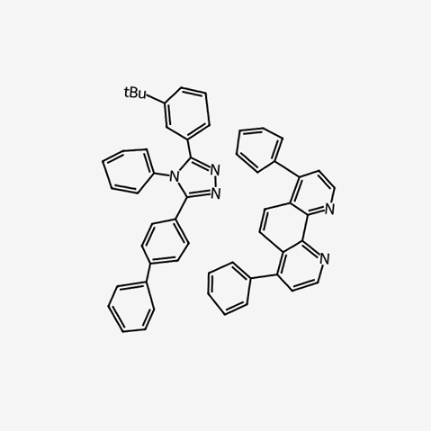 CC(C)(C)c1cccc(-c2nnc(-c3ccc(-c4ccccc4)cc3)n2-c2ccccc2)c1.c1ccc(-c2ccnc3c2ccc2c(-c4ccccc4)ccnc23)cc1